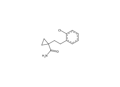 NC(=O)C1(CCc2ccccc2Cl)CC1